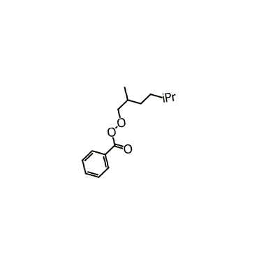 CC(C)CCC(C)COOC(=O)c1ccccc1